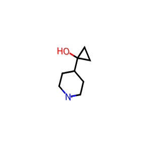 OC1(C2CC[N]CC2)CC1